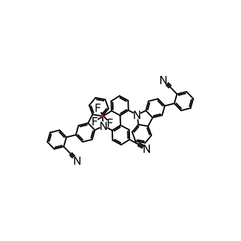 N#Cc1ccc(-n2c3ccccc3c3cc(-c4ccccc4C#N)ccc32)c(-c2c(-n3c4ccccc4c4cc(-c5ccccc5C#N)ccc43)cccc2C(F)(F)F)c1